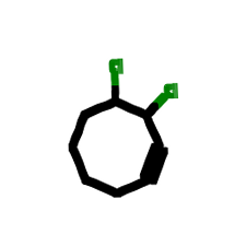 ClC1C#CCCCCC1Cl